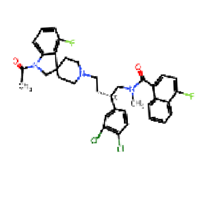 CC(=O)N1CC2(CCN(CC[C@H](CN(C)C(=O)c3ccc(F)c4ccccc34)c3ccc(Cl)c(Cl)c3)CC2)c2c(F)cccc21